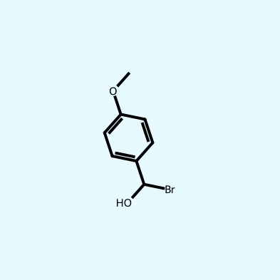 COc1ccc(C(O)Br)cc1